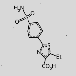 CCc1sc(-c2ccc(S(N)(=O)=O)cc2)nc1C(=O)O